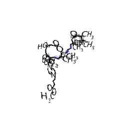 CC[C@H](O)[C@@H](C)[C@H]1O[C@@H]1CC(C)(O)/C=C/C=C(\C)[C@H]1OC(=O)C[C@H](O)CC[C@@](C)(OC)[C@@H](OC(=O)N2CCN(CCCC(=O)OC)CC2)/C=C/[C@@H]1C